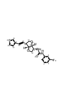 O=C(Nc1cccc(F)c1)N[C@H]1CO[C@H]2[C@@H]1OC[C@@H]2C#Cc1ccsc1